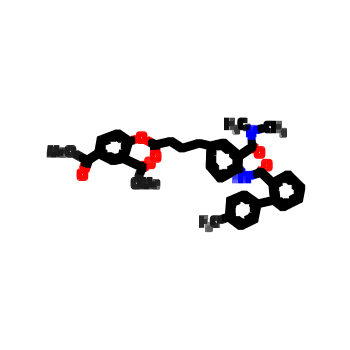 COC(=O)c1ccc(OC(=O)CCCc2ccc(NC(=O)c3ccccc3-c3ccc(C(F)(F)F)cc3)c(C(=O)N(C)C)c2)c(C(=O)OC)c1